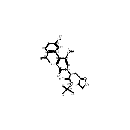 COc1cn(C(CC2=NOCC2)C(=O)OC(C)(C)C)c(=O)cc1-c1cc(Cl)ccc1C(C)C